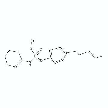 CC=CCCc1ccc(SP(=O)(NC2CCCCO2)OCC)cc1